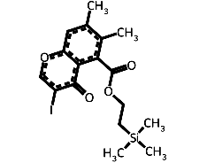 Cc1cc2occ(I)c(=O)c2c(C(=O)OCC[Si](C)(C)C)c1C